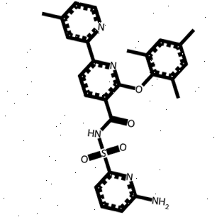 Cc1ccnc(-c2ccc(C(=O)NS(=O)(=O)c3cccc(N)n3)c(Oc3c(C)cc(C)cc3C)n2)c1